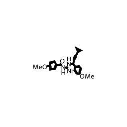 COc1ccc(C(=O)NC(=N)NC(C#CC2CC2)c2ccc(OC)cc2)cc1